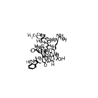 CC[C@H](C)[C@H](NC(=O)[C@@H](CCCNC(=N)N)NC(=O)[C@H](CC(=O)O)NC(=O)CNC(=O)[C@H](Cc1c[nH]c2ccccc12)NC(=O)[C@@H](N)CC(N)=O)C(=O)N[C@@H](CC(C)C)C(=O)O